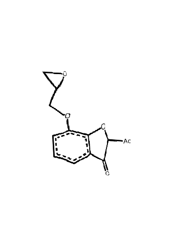 CC(=O)C1Oc2c(OCC3CO3)cccc2C1=O